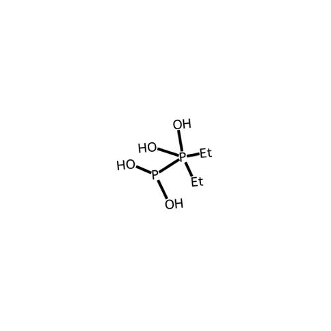 CCP(O)(O)(CC)P(O)O